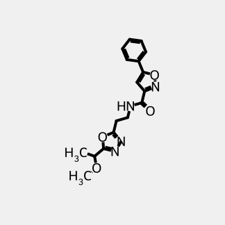 COC(C)c1nnc(CCNC(=O)c2cc(-c3ccccc3)on2)o1